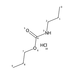 CCCNC(=O)OCCC.Cl